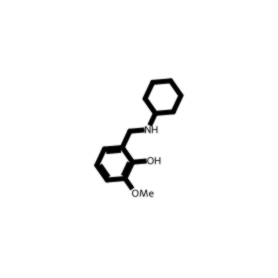 COc1cccc(CNC2CCCCC2)c1O